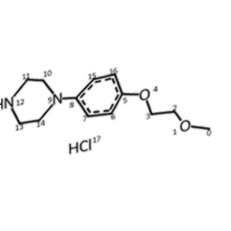 COCCOc1ccc(N2CCNCC2)cc1.Cl